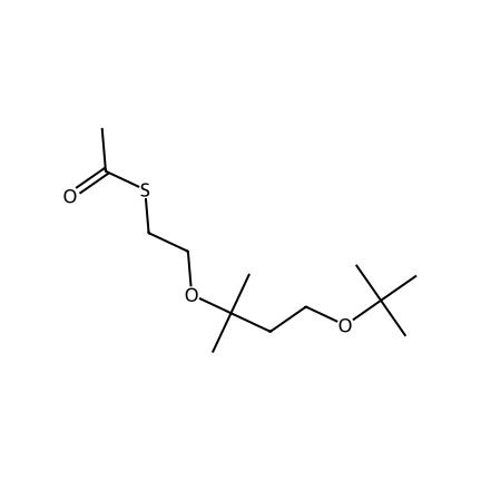 CC(=O)SCCOC(C)(C)CCOC(C)(C)C